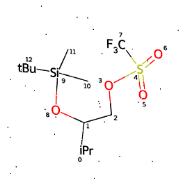 CC(C)C(COS(=O)(=O)C(F)(F)F)O[Si](C)(C)C(C)(C)C